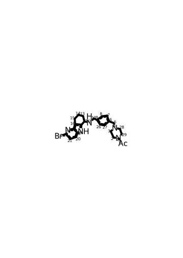 CC(=O)N1CCN(Cc2ccc(CNC3CCCc4c3[nH]c3ccc(Br)nc43)cc2)CC1